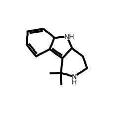 CC1(C)NCCC2NC3C=CC=CC3=C21